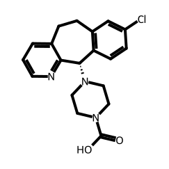 O=C(O)N1CCN([C@H]2c3ccc(Cl)cc3CCc3cccnc32)CC1